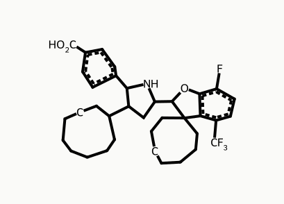 O=C(O)c1ccc(C2NC(C3Oc4c(F)ccc(C(F)(F)F)c4C34CCCCCCC4)CC2C2CCCCCCCC2)cc1